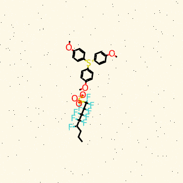 CCCC(F)C(F)(F)C(F)(F)C(F)(F)C(F)(F)S(=O)(=O)[O-].COc1ccc([S+](c2ccc(OC)cc2)c2ccc(OC)cc2)cc1